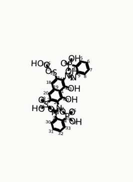 O=P(O)(O)c1ccccc1N=Nc1c(SOOO)cc2cc(S(=O)(=O)O)c(N=Nc3ccccc3P(=O)(O)O)c(O)c2c1O